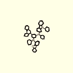 c1ccc(N(c2cc(-c3cc4ccccc4c4ccccc34)cc(N(c3ccccc3)c3cccc4c3oc3ccccc34)c2)c2ccc3c4ccccc4n(-c4ccccc4)c3c2)cc1